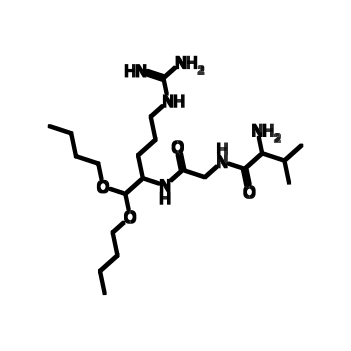 CCCCOC(OCCCC)C(CCCNC(=N)N)NC(=O)CNC(=O)C(N)C(C)C